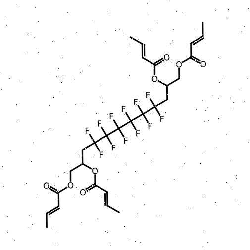 CC=CC(=O)OCC(CC(F)(F)C(F)(F)C(F)(F)C(F)(F)C(F)(F)C(F)(F)CC(COC(=O)C=CC)OC(=O)C=CC)OC(=O)C=CC